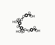 CC(C)(O)C(=O)c1ccc(OCCOC(=O)c2ccc(C(=O)c3ccc(C(=O)OCCOc4ccc(C(=O)C(C)(C)O)cc4)c(C(=O)O)c3)cc2C(=O)O)cc1